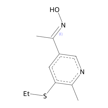 CCSc1cc(/C(C)=N/O)cnc1C